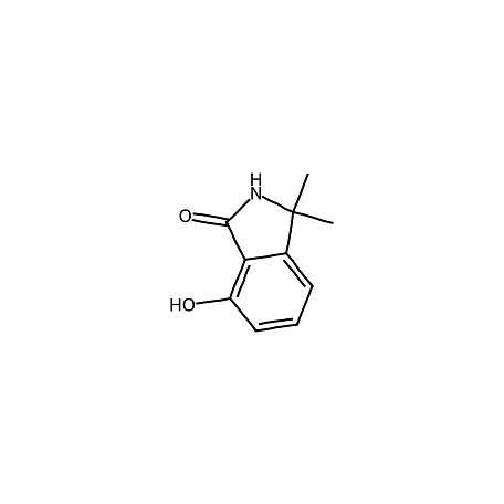 CC1(C)NC(=O)c2c(O)cccc21